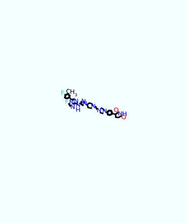 Cc1cc(-c2cnc(Nc3cnn(C4CCN(CCN5CCN(c6ccc(C7CCC(=O)NC7=O)cc6)CC5)CC4)c3)c3nccn23)c(F)cc1F